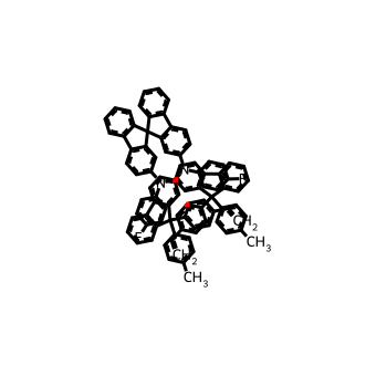 C=Cc1ccc(C2(c3ccc(C)cc3)c3ccccc3-c3ccc(N(c4ccc(F)cc4)c4ccc5c(c4)C4(c6ccccc6-5)c5ccccc5-c5ccc(N(c6ccc(F)cc6)c6ccc7c(c6)C(c6ccc(C)cc6)(c6ccc(C=C)cc6)c6ccccc6-7)cc54)cc32)cc1